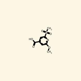 COc1cc(C(=O)O)cc(S(C)(=O)=O)n1